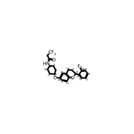 O=C(CC(F)(F)F)N[C@H]1CC[C@H](Oc2ccc3c(c2)CCC(c2ccccc2F)O3)CC1